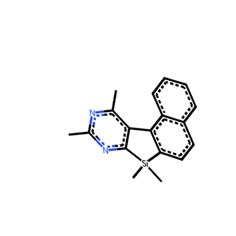 Cc1nc(C)c2c(n1)[Si](C)(C)c1ccc3ccccc3c1-2